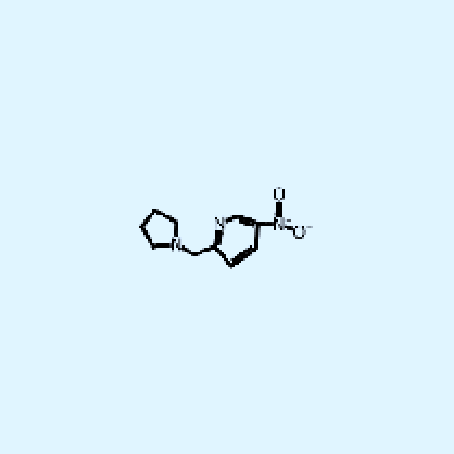 O=[N+]([O-])c1ccc(CN2CCCC2)nc1